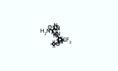 NC(=O)/C(=C/n1cnc(-c2cc(OC3CCC3)nc(C(F)(F)F)c2)n1)c1cncnc1